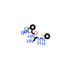 [N-]=[N+]=NC[C@@H](C(=O)N/C(C=N)=C/NC1Nc2ccccc2S1)c1ccccc1Cl